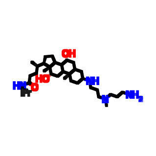 CC(C)NC(=O)CC[C@@H](C)[C@H]1CCC2C3C(C[C@H](O)[C@@]21C)[C@@]1(C)CC[C@H](NCCCN(C)CCCN)CC1C[C@H]3O